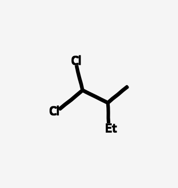 CCC(C)C(Cl)Cl